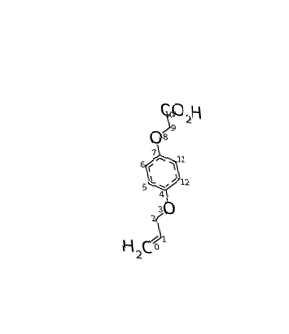 C=CCOc1ccc(OCC(=O)O)cc1